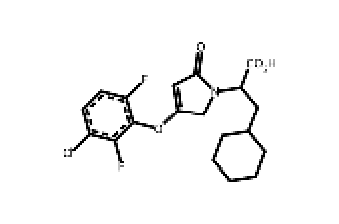 O=C(O)C(CC1CCCCC1)N1CC(Oc2c(F)ccc(Cl)c2F)=CC1=O